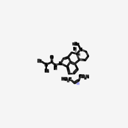 CCCCN1CCC=C2c3cccc4c3c(cn4NC(=O)N(CC)CC)C[C@H]21.O=C(O)/C=C\C(=O)O